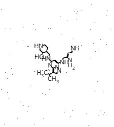 CC(C)c1cnn2c(NC/C(N)=C/C=N)cc(NCC3CCNC[C@@H]3O)nc12